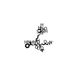 CC(C)(C)OC(=O)[C@H](CCC(=O)C=[N+]=[N-])NC(=O)[C@H](Cc1c[nH]c2ccccc12)NC(=O)CCCC[C@@H]1SC[C@H]2NC(=O)N[C@@H]12